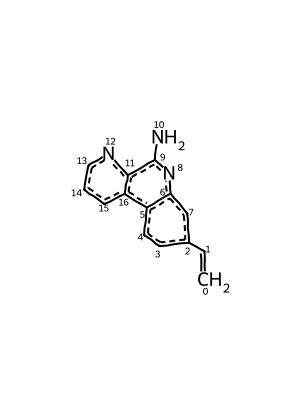 C=Cc1ccc2c(c1)nc(N)c1ncccc12